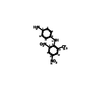 Nc1ccc(Nc2c([N+](=O)[O-])cc([N+](=O)[O-])cc2C(F)(F)F)cc1